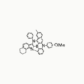 COc1ccc(N2c3cccc4c3B3c5c2cc2ccc(C)cc2c5N(c2ccccc2)c2c3n-4c3c4c(ccc23)CCCC4)cc1